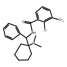 CN(C)C1(C(NC(=O)c2cccc(C(F)(F)F)c2Cl)c2ccccc2)CCCCC1